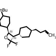 C=CCC[C@H]1CC[C@H]([C@H]2[C@H](C3CCC(CCCC)CC3)OC2(F)F)CC1